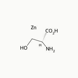 N[C@H](CO)C(=O)O.[Zn]